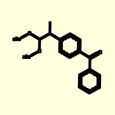 CCCCOC(OCCCC)C(C)c1ccc(C(=O)c2ccccc2)cc1